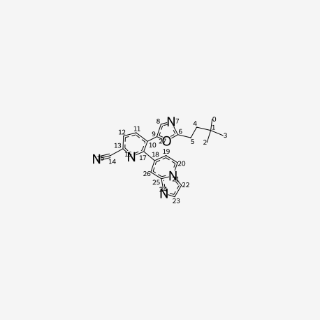 CC(C)(C)CCc1ncc(-c2ccc(C#N)nc2-c2ccn3ccnc3c2)o1